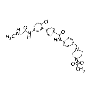 CNCC(=O)Nc1ccc(Cl)c(-c2ccc(C(=O)Nc3ccc(CN4CCN(S(C)(=O)=O)CC4)cc3)cc2)c1